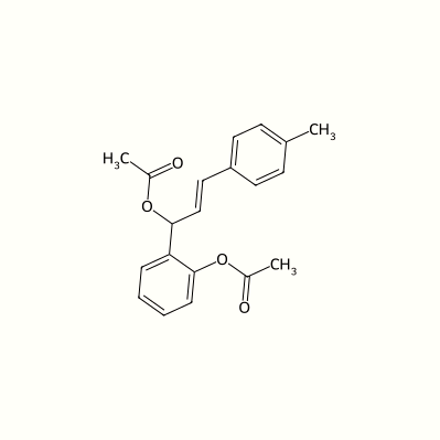 CC(=O)Oc1ccccc1C(/C=C/c1ccc(C)cc1)OC(C)=O